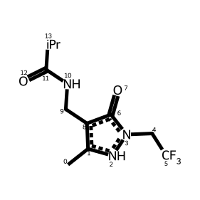 Cc1[nH]n(CC(F)(F)F)c(=O)c1CNC(=O)C(C)C